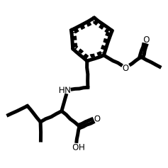 CCC(C)C(NCc1ccccc1OC(C)=O)C(=O)O